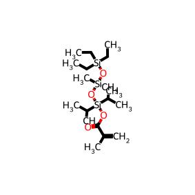 C=C(C)C(=O)O[Si](O[Si](C)(C)O[Si](CC)(CC)CC)(C(C)C)C(C)C